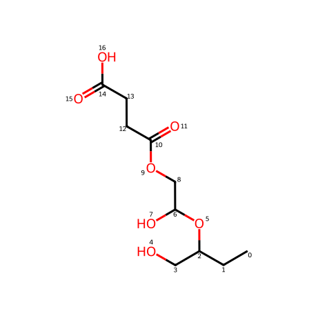 CCC(CO)OC(O)COC(=O)CCC(=O)O